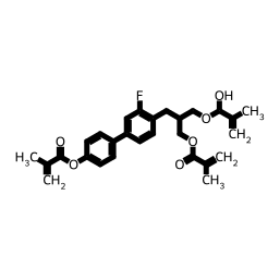 C=C(C)C(=O)OCC(COC(O)C(=C)C)Cc1ccc(-c2ccc(OC(=O)C(=C)C)cc2)cc1F